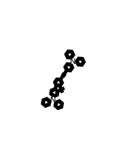 CC1(C)c2cc(C#Cc3ccc(N(c4ccccc4)c4ccccc4)cc3)ccc2-c2ccc(N(c3ccccc3)c3ccccc3)cc21